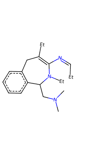 CC/C=N\C1=C(CC)Cc2ccccc2C(CN(C)C)N1CC